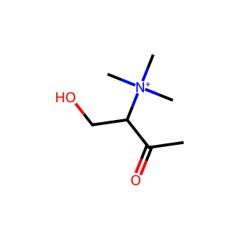 CC(=O)C(CO)[N+](C)(C)C